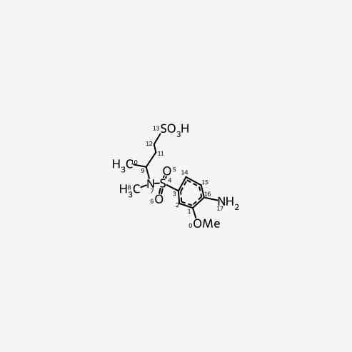 COc1cc(S(=O)(=O)N(C)C(C)CCS(=O)(=O)O)ccc1N